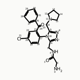 NCC(=O)NCc1nnc(CN2CCCC2)n1-c1ccc(Cl)cc1C(=O)c1ccccc1